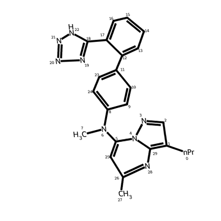 CCCc1cnn2c(N(C)c3ccc(-c4ccccc4-c4nnn[nH]4)cc3)cc(C)nc12